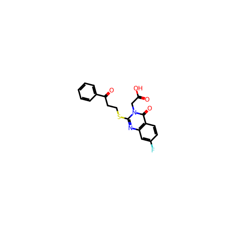 O=C(O)Cn1c(SCCC(=O)c2ccccc2)nc2cc(F)ccc2c1=O